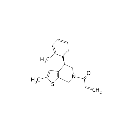 C=CC(=O)N1Cc2sc(C)cc2[C@@H](c2ccccc2C)C1